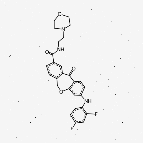 O=C(NCCN1CCOCC1)c1ccc2c(c1)C(=O)c1ccc(Nc3ccc(F)cc3F)cc1OC2